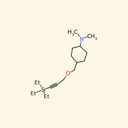 CC[Si](C#CCOCC1CCC(N(C)C)CC1)(CC)CC